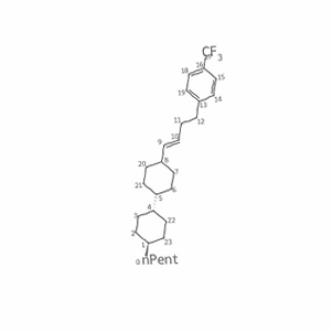 CCCCC[C@H]1CC[C@H](C2CCC(/C=C/CCc3ccc(C(F)(F)F)cc3)CC2)CC1